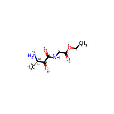 CCOC(=O)CNC(=O)C(=O)[C@H](C)N